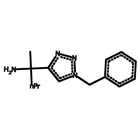 CCCC(C)(N)c1cn(Cc2ccccc2)nn1